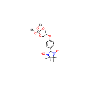 CCO[Si]1(OCC)OCC(Oc2ccc(C3=[N+]([O-])C(C)(C)C(C)(C)N3O)cc2)CO1